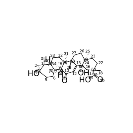 CC1(C)[C@@H](O)CC[C@]2(C)[C@H]3C(=O)C=C4[C@]5(O)C[C@@](C)(C(=O)O)CC[C@]5(C)CC[C@@]4(C)[C@]3(C)CC[C@@H]12